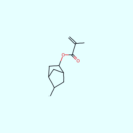 [CH2]C1CC2CC1CC2OC(=O)C(=C)C